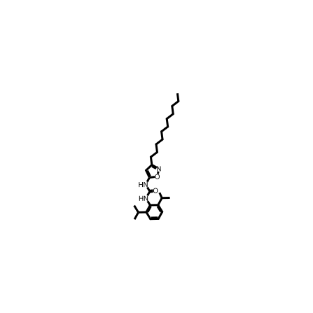 CCCCCCCCCCCc1cc(NC(=O)Nc2c(C(C)C)cccc2C(C)C)on1